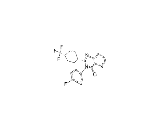 O=c1c2ncccc2nc([C@H]2CC[C@@H](C(F)(F)F)CC2)n1-c1ccc(F)cc1